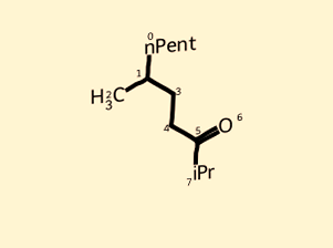 CCCCCC(C)CCC(=O)C(C)C